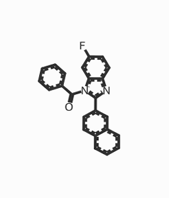 O=C(c1ccccc1)n1c(-c2ccc3ccccc3c2)nc2ccc(F)cc21